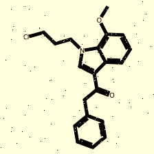 COc1cccc2c(C(=O)Cc3ccccc3)cn(CCCCl)c12